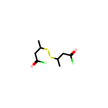 CC(CC(=O)Cl)SSC(C)CC(=O)Cl